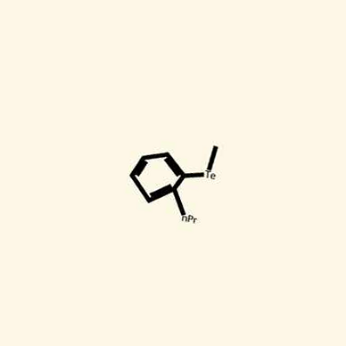 CCCc1ccccc1[Te]C